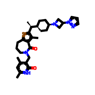 Cc1cc(C)c(CN2CCCc3sc([C@H](C)[C@H]4CC[C@H](N5CC(n6cccn6)C5)CC4)c(C)c3C2=O)c(=O)[nH]1